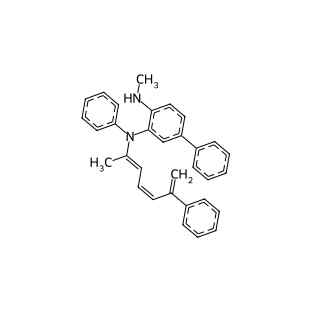 C=C(/C=C\C=C(/C)N(c1ccccc1)c1cc(-c2ccccc2)ccc1NC)c1ccccc1